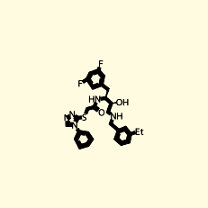 CCc1cccc(CNC[C@@H](O)[C@H](Cc2cc(F)cc(F)c2)NC(=O)CSc2nncn2-c2ccccc2)c1